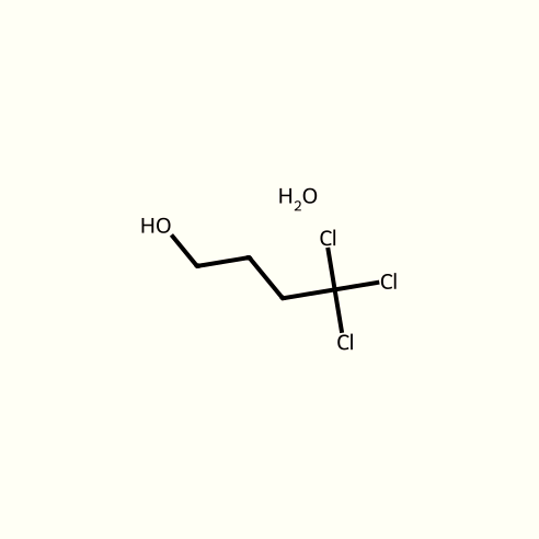 O.OCCCC(Cl)(Cl)Cl